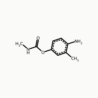 CNC(=O)Oc1ccc(N)c(C)c1